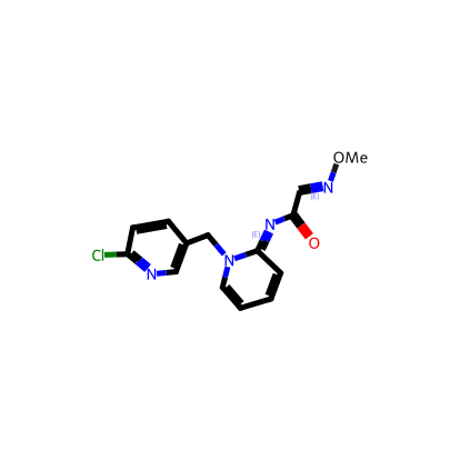 CO/N=C/C(=O)/N=c1\ccccn1Cc1ccc(Cl)nc1